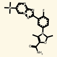 CC1=C(C(N)=O)OC(C)N1c1ccc(F)c(-c2nc3ncc([Si](C)(C)C)cn3n2)c1